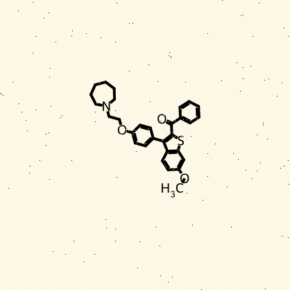 COc1ccc2c(-c3ccc(OCCN4CCCCCC4)cc3)c(C(=O)c3ccccc3)sc2c1